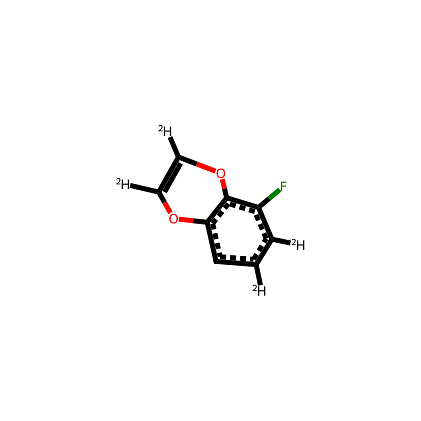 [2H]C1=C([2H])Oc2c(cc([2H])c([2H])c2F)O1